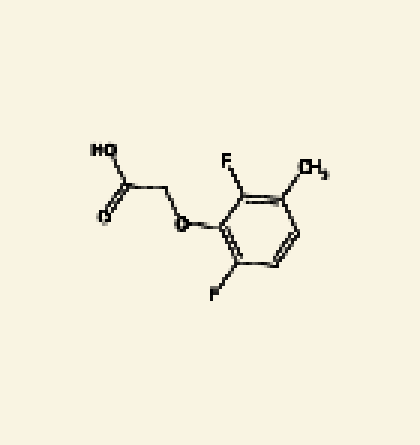 Cc1ccc(F)c(OCC(=O)O)c1F